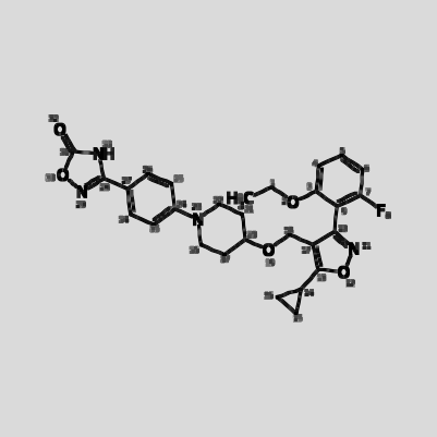 CCOc1cccc(F)c1-c1noc(C2CC2)c1COC1CCN(c2ccc(-c3noc(=O)[nH]3)cc2)CC1